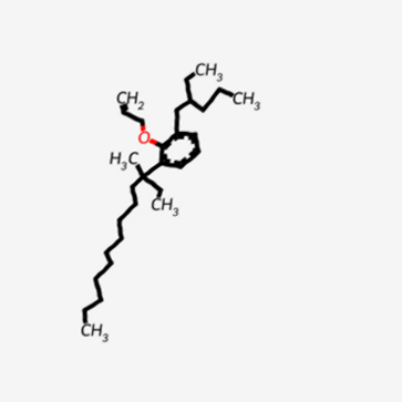 C=CCOc1c(CC(CC)CCC)cccc1C(C)(CC)CCCCCCCCCC